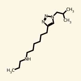 CCCNCCCCCCc1cn(CC(C)C)nn1